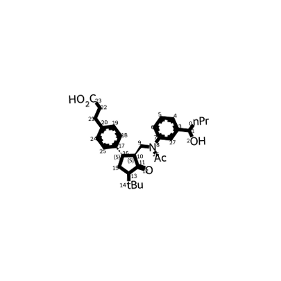 CCCC(O)c1cccc(N(C[C@H]2C(=O)C(C(C)(C)C)C[C@@H]2c2ccc(CCC(=O)O)cc2)C(C)=O)c1